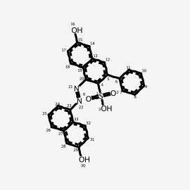 O=S(=O)(O)c1c(-c2ccccc2)cc2cc(O)ccc2c1N=Nc1cccc2cc(O)ccc12